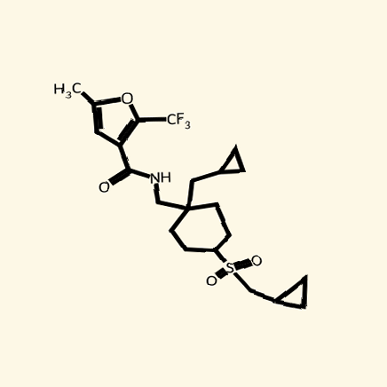 Cc1cc(C(=O)NCC2(CC3CC3)CCC(S(=O)(=O)CC3CC3)CC2)c(C(F)(F)F)o1